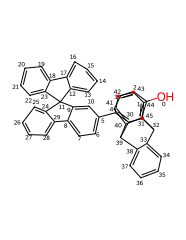 Oc1ccc(-c2ccc3c(c2)C2(c4ccccc4-c4ccccc42)c2ccccc2-3)c2c1C1c3ccccc3C2c2ccccc21